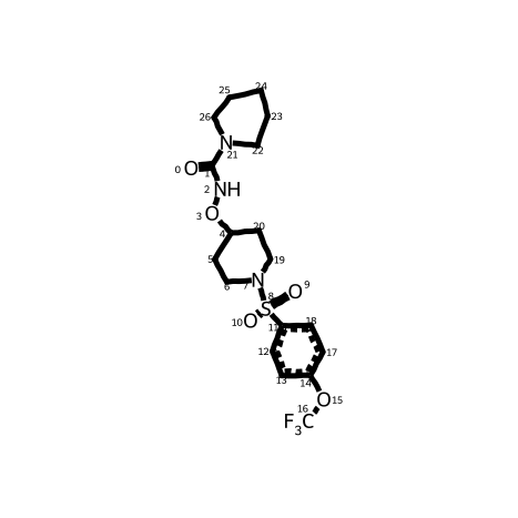 O=C(NOC1CCN(S(=O)(=O)c2ccc(OC(F)(F)F)cc2)CC1)N1CCCCC1